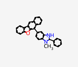 CN1c2ccc(-c3c4ccccc4cc4c3oc3ccccc34)cc2NC1c1ccccc1